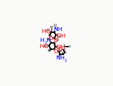 CC[C@@H]1CCC(N)[C@@H](OC2C(O)[C@@H](O[C@H]3OC[C@](C)(O)C(NC)C3O)C(N)[C@H](O)[C@@H]2C)O1